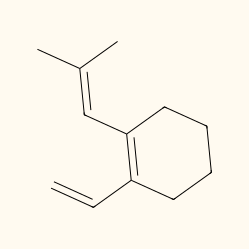 C=CC1=C(C=C(C)C)CCCC1